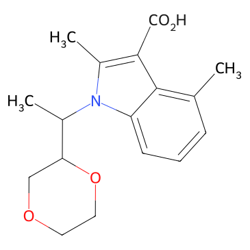 Cc1cccc2c1c(C(=O)O)c(C)n2C(C)C1COCCO1